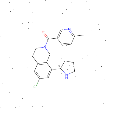 Cc1ccc(C(=O)N2CCc3cc(Cl)cc([C@@H]4CCCN4)c3C2)cn1